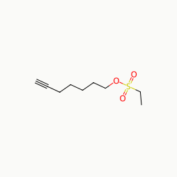 C#CCCCCCOS(=O)(=O)CC